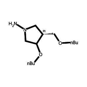 CCCCOC[C@H]1CN(N)CC1OCCCC